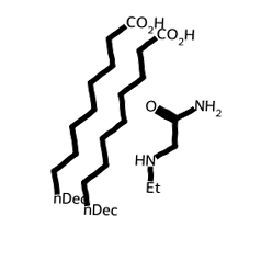 CCCCCCCCCCCCCCCCCC(=O)O.CCCCCCCCCCCCCCCCCC(=O)O.CCNCC(N)=O